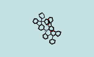 C1=CCCC(C2(c3ccccc3)c3ccccc3-c3ccc(N(c4ccccc4-c4ccc5ccccc5c4-c4ccccc4)c4cccc5c4oc4ccccc45)cc32)=C1